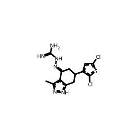 Cc1n[nH]c2c1C(=NNC(=N)N)CC(c1cc(Cl)sc1Cl)C2